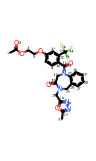 CC(=O)OCCOc1ccc(C(=O)N2CC(=O)N(Cc3nnc(C)o3)Cc3ccccc32)c(C(F)(F)F)c1